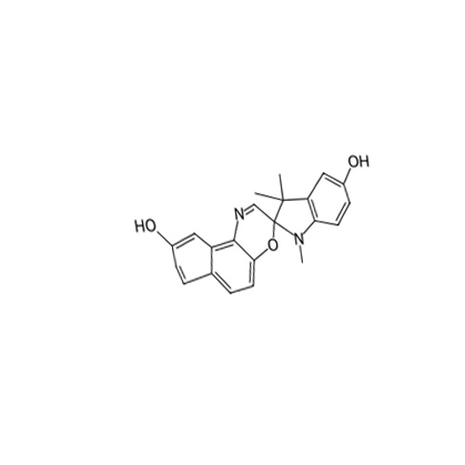 CN1c2ccc(O)cc2C(C)(C)C12C=Nc1c(ccc3ccc(O)cc13)O2